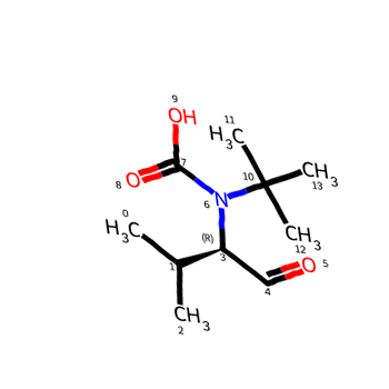 CC(C)[C@H](C=O)N(C(=O)O)C(C)(C)C